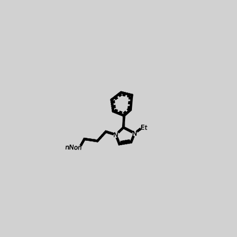 CCCCCCCCCCCCN1C=CN(CC)C1c1ccccc1